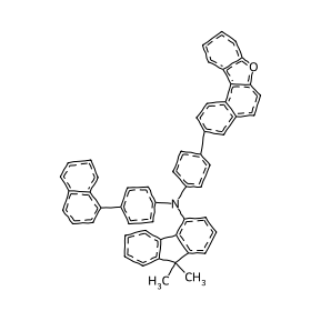 CC1(C)c2ccccc2-c2c(N(c3ccc(-c4ccc5c(ccc6oc7ccccc7c65)c4)cc3)c3ccc(-c4cccc5ccccc45)cc3)cccc21